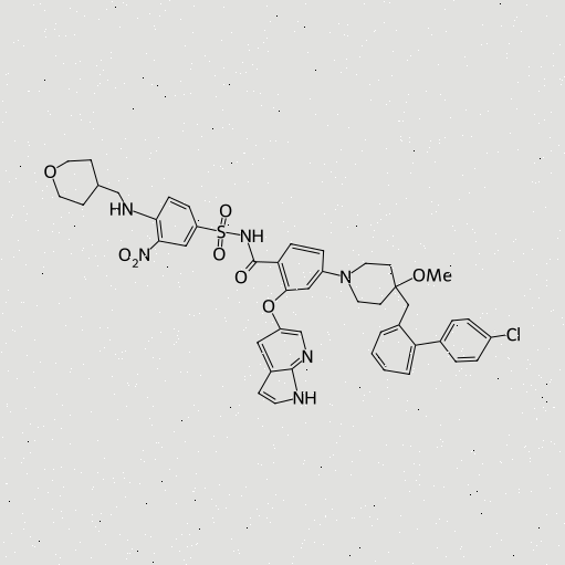 COC1(Cc2ccccc2-c2ccc(Cl)cc2)CCN(c2ccc(C(=O)NS(=O)(=O)c3ccc(NCC4CCOCC4)c([N+](=O)[O-])c3)c(Oc3cnc4[nH]ccc4c3)c2)CC1